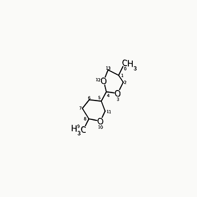 CC1COC(C2CCC(C)OC2)OC1